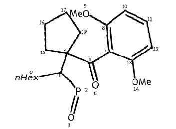 CCCCCCC(P=O)C1(C(=O)c2c(OC)cccc2OC)CCCC1